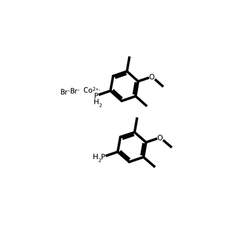 COc1c(C)cc(P)cc1C.COc1c(C)cc(P)cc1C.[Br-].[Br-].[Co+2]